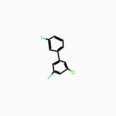 Fc1cccc(-c2cc(F)cc(Cl)c2)c1